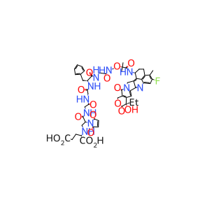 CC[C@@]1(O)C(=O)OCc2c1cc1n(c2=O)Cc2c-1nc1cc(F)c(C)c3c1c2[C@@H](NC(=O)C(C)(C)OCNC(=O)CNC(=O)[C@H](Cc1ccccc1)NC(=O)CNC(=O)CNC(=O)C(CNC(CCC(=O)O)C(=O)O)N1C(=O)C=CC1=O)CC3